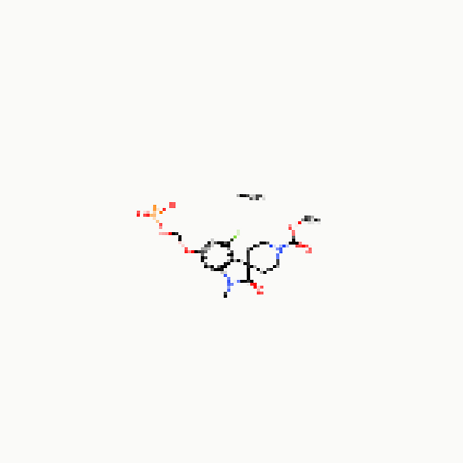 CCCC.CN1C(=O)C2(CCN(C(=O)OC(C)(C)C)CC2)c2c(F)cc(OCO[PH](=O)O)cc21